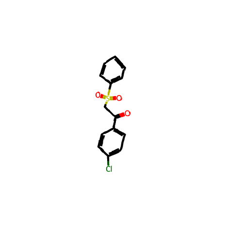 O=C(CS(=O)(=O)c1ccccc1)c1ccc(Cl)cc1